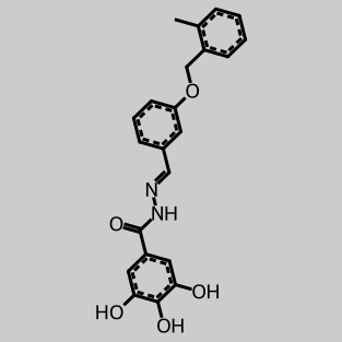 Cc1ccccc1COc1cccc(/C=N/NC(=O)c2cc(O)c(O)c(O)c2)c1